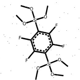 CO[Si](OC)(OC)c1c(F)c(F)c([Si](OC)(OC)OC)c(F)c1F